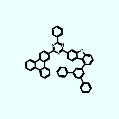 c1ccc(-c2cc(-c3ccccc3)cc(-c3cccc4oc5cc(-c6nc(-c7ccccc7)nc(-c7ccc8c9ccccc9c9ccccc9c8c7)n6)ccc5c34)c2)cc1